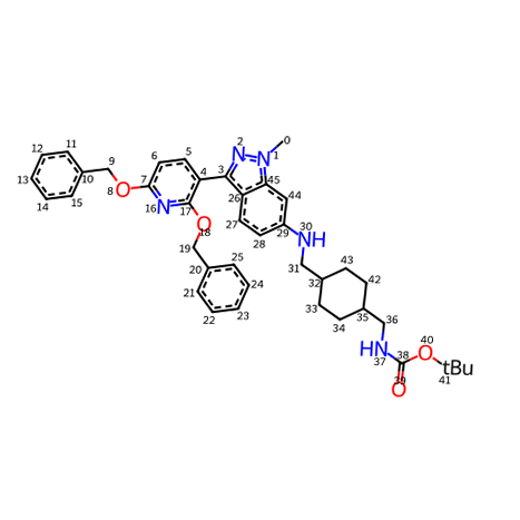 Cn1nc(-c2ccc(OCc3ccccc3)nc2OCc2ccccc2)c2ccc(NCC3CCC(CNC(=O)OC(C)(C)C)CC3)cc21